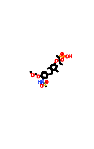 CCC(CC)(Oc1cc(C)c(Cc2ccc(OCOC)c(NS(C)(=O)=O)c2)c(C)c1)O[PH](=O)O